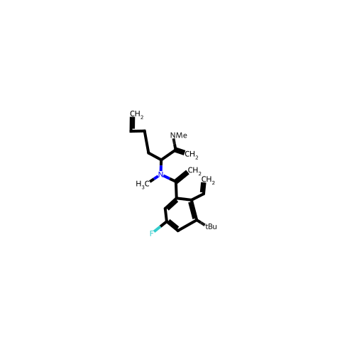 C=CCCC(C(=C)NC)N(C)C(=C)c1cc(F)cc(C(C)(C)C)c1C=C